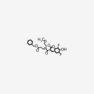 COCCN(CCC(=O)OCc1ccccc1)C(=O)c1cc2cc(F)c(O)c(F)c2oc1=O